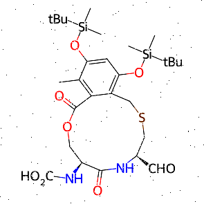 Cc1c(O[Si](C)(C)C(C)(C)C)cc(O[Si](C)(C)C(C)(C)C)c2c1C(=O)OC[C@H](NC(=O)O)C(=O)N[C@H](C=O)CSC2